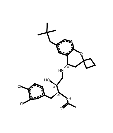 CC(=O)N[C@@H](Cc1ccc(Cl)c(Cl)c1)[C@@H](O)CN[C@H]1CC2(CCC2)Oc2ncc(CC(C)(C)C)cc21